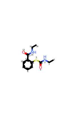 CCNC(=O)Sc1ccccc1C(=O)NCC